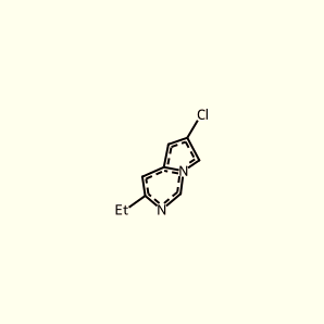 CCc1cc2cc(Cl)cn2cn1